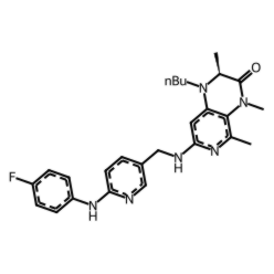 CCCCN1c2cc(NCc3ccc(Nc4ccc(F)cc4)nc3)nc(C)c2N(C)C(=O)[C@@H]1C